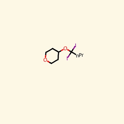 CCCC(I)(I)OC1CCOCC1